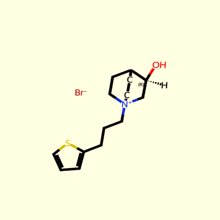 O[C@H]1C[N+]2(CCCc3cccs3)CCC1CC2.[Br-]